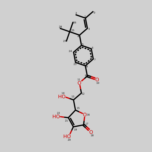 CC(C)=CC(c1ccc(C(=O)OCC(O)C2OC(=O)C(O)=C2O)cc1)C(C)(C)C